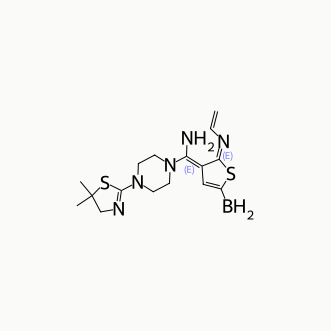 BC1=CC(=C(/N)N2CCN(C3=NCC(C)(C)S3)CC2)/C(=N\C=C)S1